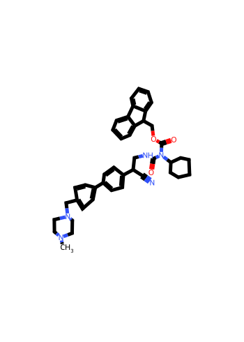 CN1CCN(Cc2ccc(-c3ccc(C(C#N)CNC(=O)N(C(=O)OCC4c5ccccc5-c5ccccc54)C4CCCCC4)cc3)cc2)CC1